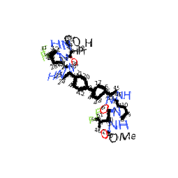 COC(=O)N[C@H](C(=O)N1CCCC1c1nc(-c2ccc(-c3ccc(-c4c[nH]c([C@@H]5CC(F)(F)CN5C(=O)[C@@H](NC(=O)O)C(C)C)n4)cc3)cc2)c[nH]1)C(C)C(F)F